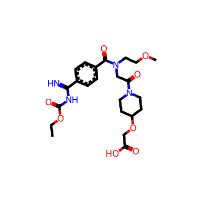 CCOC(=O)NC(=N)c1ccc(C(=O)N(CCOC)CC(=O)N2CCC(OCC(=O)O)CC2)cc1